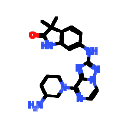 CC1(C)C(=O)Nc2cc(Nc3nc4c(N5CCCC(N)C5)nccn4n3)ccc21